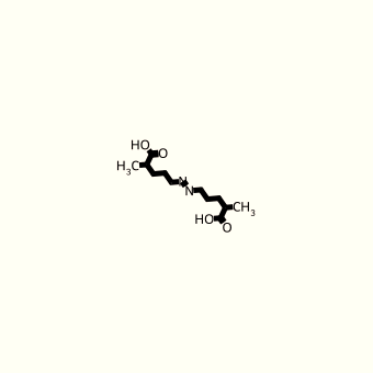 CC(CCCN=NCCCC(C)C(=O)O)C(=O)O